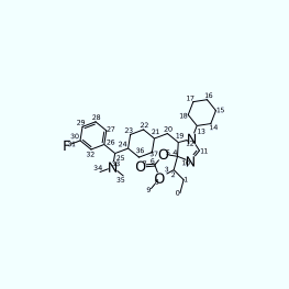 CCC(C)C1(OC(=O)OC)N=CN(C2CCCCC2)C1CC1CCC(C(c2cccc(F)c2)N(C)C)CC1